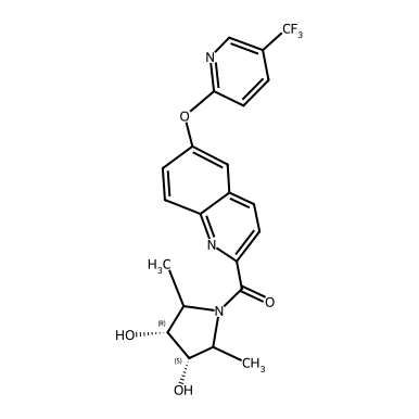 CC1[C@@H](O)[C@@H](O)C(C)N1C(=O)c1ccc2cc(Oc3ccc(C(F)(F)F)cn3)ccc2n1